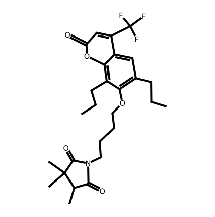 CCCc1cc2c(C(F)(F)F)cc(=O)oc2c(CCC)c1OCCCCN1C(=O)C(C)C(C)(C)C1=O